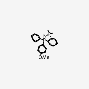 C=P(C)(C)N=P(c1ccccc1)(c1ccccc1)c1ccc(OC)cc1